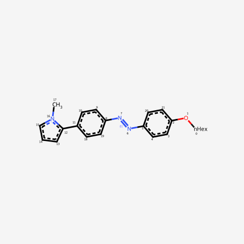 CCCCCCOc1ccc(/N=N/c2ccc(-c3cccn3C)cc2)cc1